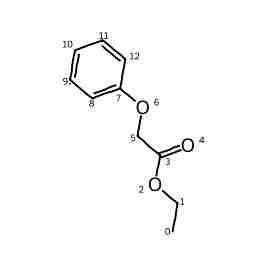 CCOC(=O)COc1c[c]ccc1